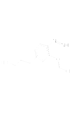 CCCCc1ccc(N=N)c(OCC)c1